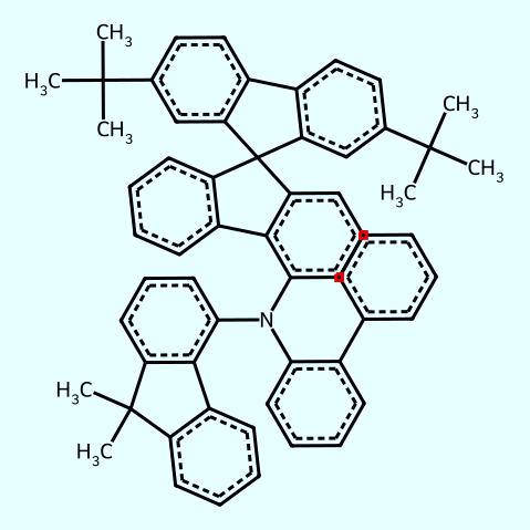 CC(C)(C)c1ccc2c(c1)C1(c3cc(C(C)(C)C)ccc3-2)c2ccccc2-c2c(N(c3ccccc3-c3ccccc3)c3cccc4c3-c3ccccc3C4(C)C)cccc21